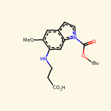 COc1cc2ccn(C(=O)OC(C)(C)C)c2cc1NCCC(=O)O